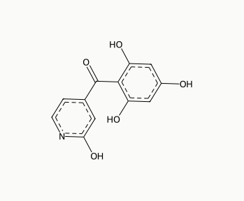 O=C(c1ccnc(O)c1)c1c(O)cc(O)cc1O